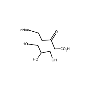 CCCCCCCCCCCC(=O)CC(=O)O.OCC(O)CO